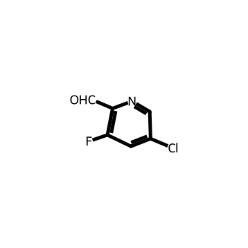 O=Cc1ncc(Cl)cc1F